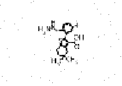 CC1(C)CCc2sc(-c3cc(F)ccc3CNN)c(C(=O)O)c2C1